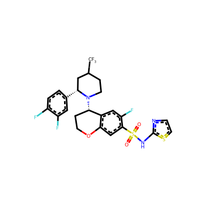 O=S(=O)(Nc1nccs1)c1cc2c(cc1F)[C@@H](N1CCC(C(F)(F)F)C[C@H]1c1ccc(F)c(F)c1)CCO2